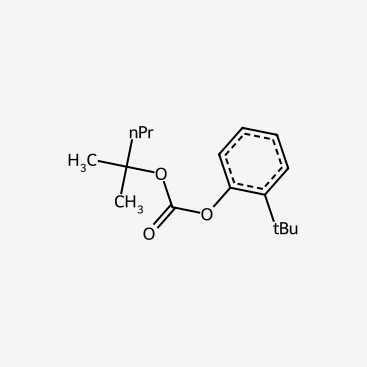 CCCC(C)(C)OC(=O)Oc1ccccc1C(C)(C)C